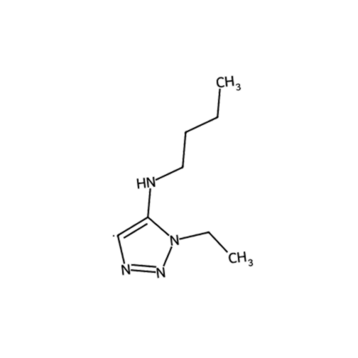 CCCCNc1[c]nnn1CC